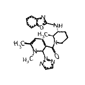 CC1=CC=C(C(=O)N2CCC[C@@H](Nc3nc4ccccc4o3)[C@@H]2C)C(n2nccn2)N1C